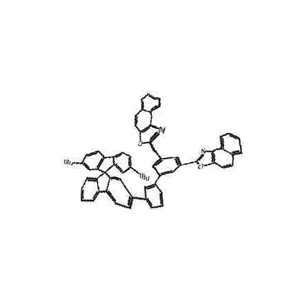 CC(C)(C)c1ccc2c(c1)C1(c3ccccc3-c3ccc(-c4cccc(-c5cc(-c6nc7c(ccc8ccccc87)o6)cc(-c6nc7c(ccc8ccccc87)o6)c5)c4)cc31)c1cc(C(C)(C)C)ccc1-2